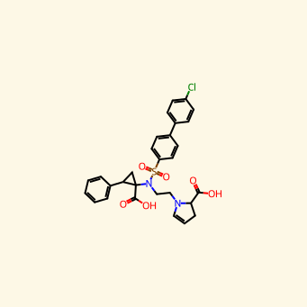 O=C(O)C1CC=CN1CCN(C1(C(=O)O)CC1c1ccccc1)S(=O)(=O)c1ccc(-c2ccc(Cl)cc2)cc1